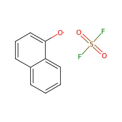 O=S(=O)(F)F.[O]c1cccc2ccccc12